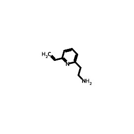 C=Cc1cccc(CCN)n1